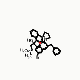 CN(C)CCC(O)(c1cccc2ccccc12)c1cc(Br)cc2cc(Cc3ccccc3)c(N3CCCC3)nc12